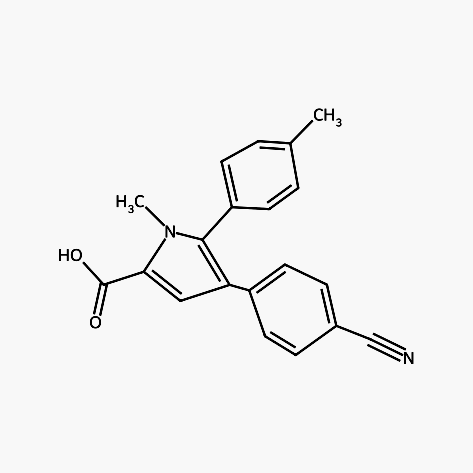 Cc1ccc(-c2c(-c3ccc(C#N)cc3)cc(C(=O)O)n2C)cc1